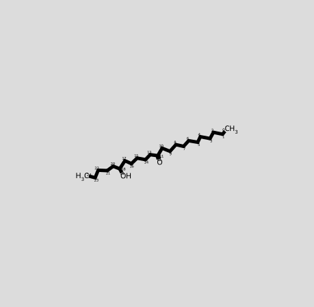 CCCCCCCCCCCC(=O)CCCCCC(O)CCCCC